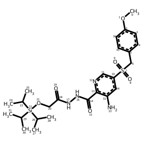 COc1ccc(CS(=O)(=O)c2cnc(C(=O)NNC(=O)CO[Si](C(C)C)(C(C)C)C(C)C)c(N)c2)cc1